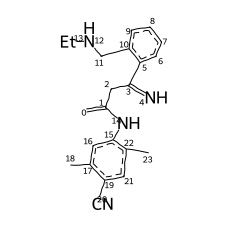 C=C(CC(=N)c1ccccc1CNCC)Nc1cc(C)c(C#N)cc1C